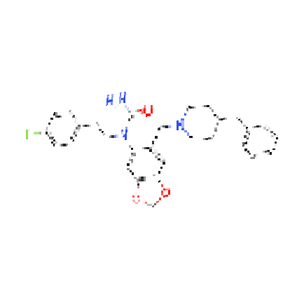 NC(=O)N(CCc1ccc(F)cc1)c1cc2c(cc1CN1CCC(Cc3ccccc3)CC1)OCO2